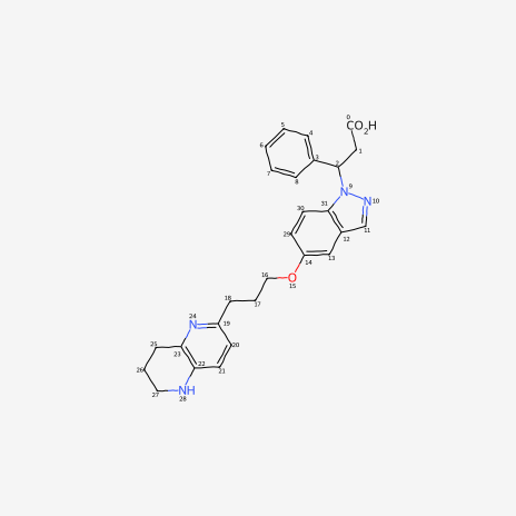 O=C(O)CC(c1ccccc1)n1ncc2cc(OCCCc3ccc4c(n3)CCCN4)ccc21